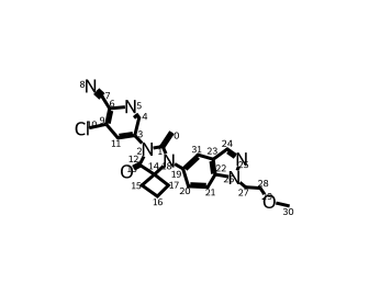 C=C1N(c2cnc(C#N)c(Cl)c2)C(=O)C2(CCC2)N1c1ccc2c(cnn2CCOC)c1